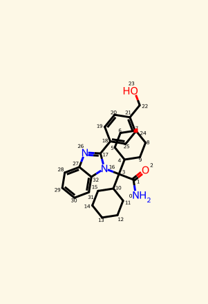 NC(=O)C(C1CCCCC1)(C1CCCCC1)n1c(-c2ccc(CO)cc2)nc2ccccc21